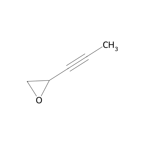 CC#CC1CO1